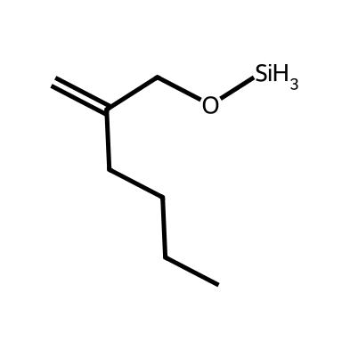 C=C(CCCC)CO[SiH3]